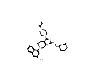 C=CC(=O)N1CCN(c2nc(OCC3CCCC(=O)N3)nc3c2CCN(c2cc(O)cc4ccccc24)C3)CC1